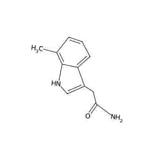 Cc1cccc2c(CC(N)=O)c[nH]c12